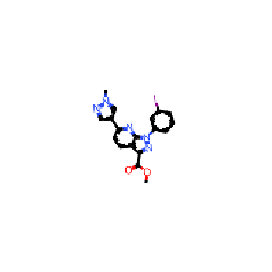 COC(=O)c1nn(-c2cccc(I)c2)c2nc(-c3cnn(C)c3)ccc12